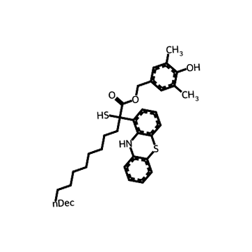 CCCCCCCCCCCCCCCCCCC(S)(C(=O)OCc1cc(C)c(O)c(C)c1)c1cccc2c1Nc1ccccc1S2